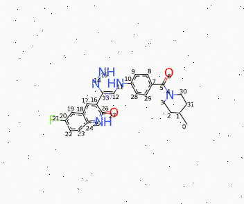 CC1CCN(C(=O)c2ccc(N/C=C(\N=N)c3cc4cc(F)ccc4[nH]c3=O)cc2)CC1